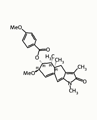 COc1ccc(C(=O)O[C@H]2[C@H](OC)C=C3C=C4C(=C(C)C(=O)N4C)C[C@]3(C)[C@H]2C)cc1